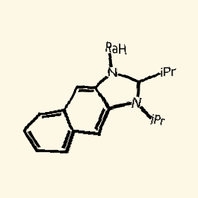 CC(C)C1[N]([RaH])c2cc3ccccc3cc2N1C(C)C